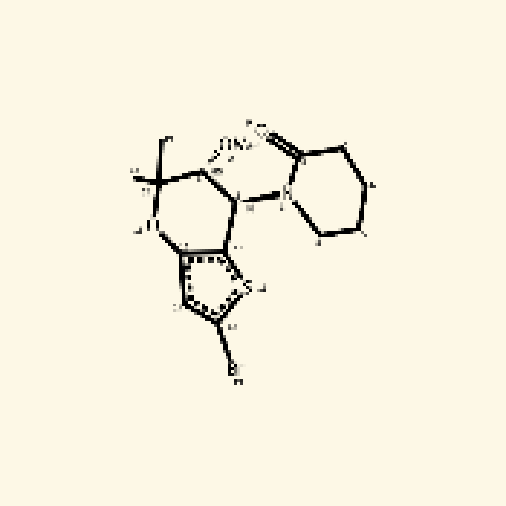 CO[C@@H]1[C@@H](N2CCCCC2=O)c2sc(Br)cc2OC1(C)C